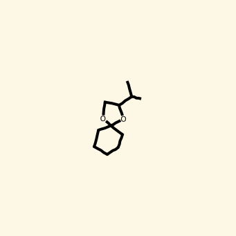 CC(C)C1COC2(CCCCC2)O1